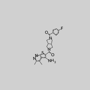 Cc1nnc2sc(C(=O)N3CC4CN(C(=O)c5ccc(F)cc5)CC4C3)c(N)c2c1C